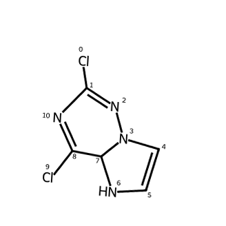 ClC1=NN2C=CNC2C(Cl)=N1